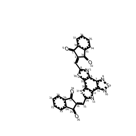 O=C1C(=Cc2nc3c4nsnc4c4nc(C=C5C(=O)c6ccccc6C5=O)sc4c3s2)C(=O)c2ccccc21